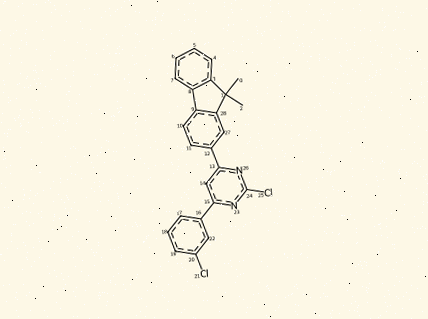 CC1(C)c2ccccc2-c2ccc(-c3cc(-c4cccc(Cl)c4)nc(Cl)n3)cc21